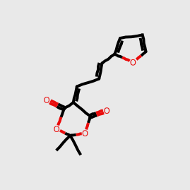 CC1(C)OC(=O)C(=C/C=C/c2ccco2)C(=O)O1